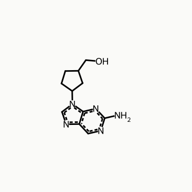 Nc1ncc2ncn(C3CCC(CO)C3)c2n1